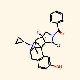 CCC1C2[C@@H](CN1C(=O)c1ccccc1)CC1(C)C3Cc4ccc(O)cc4C21CCN3C1CC1